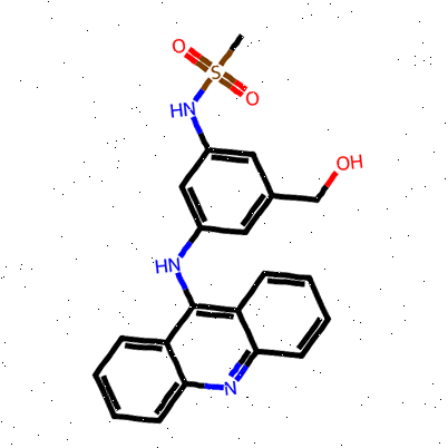 CS(=O)(=O)Nc1cc(CO)cc(Nc2c3ccccc3nc3ccccc23)c1